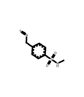 CNS(=O)(=O)c1ccc(CN=S)cc1